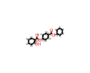 O=C(Oc1ccccc1)c1ccc(OC(=O)c2ccccc2O)cc1